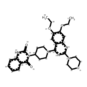 CCOc1cc2nc(N3CCOCC3)nc(N3CCC(n4c(=O)[nH]c5ccccc5c4=O)CC3)c2cc1OCC